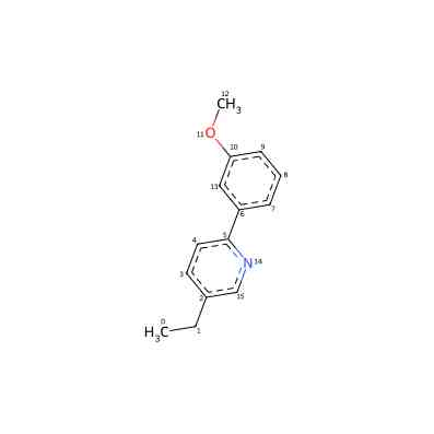 CCc1ccc(-c2cccc(OC)c2)nc1